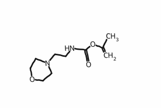 C=C(C)OC(=O)NCCN1CCOCC1